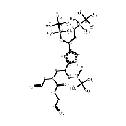 C=CCOC(=O)N(CC=C)CC(N[S+]([O-])C(C)(C)C)c1ncc(C(CO[Si](C)(C)C(C)(C)C)O[Si](C)(C)C(C)(C)C)s1